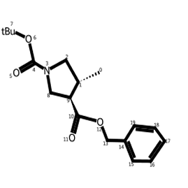 C[C@H]1CN(C(=O)OC(C)(C)C)C[C@@H]1C(=O)OCc1ccccc1